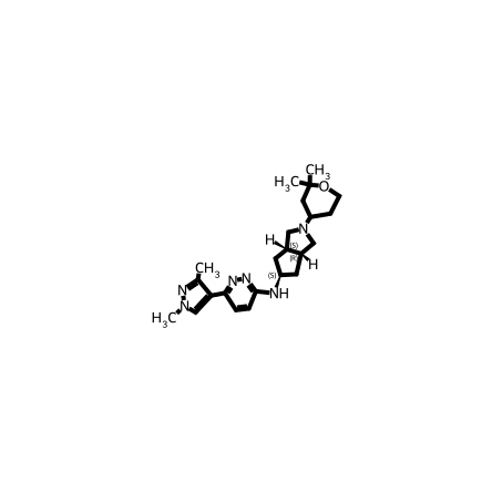 Cc1nn(C)cc1-c1ccc(N[C@H]2C[C@@H]3CN(C4CCOC(C)(C)C4)C[C@@H]3C2)nn1